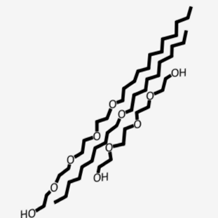 CCCCCCCCCCCCOCCOCCOCCOCCO.CCCCCCCCCCOCCCCCCCCCC.OCCOCCOCCOCCO